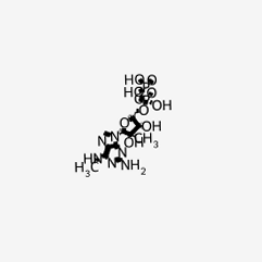 CNc1nc(N)nc2c1ncn2[C@@H]1O[C@H](COP(=O)(O)OP(=O)(O)O)[C@@H](O)[C@@]1(C)O